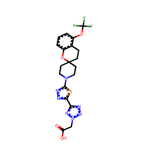 O=C(O)Cn1nnc(-c2nnc(N3CCC4(CCc5c(OC(F)(F)F)cccc5O4)CC3)s2)n1